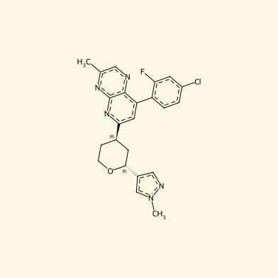 Cc1cnc2c(-c3ccc(Cl)cc3F)cc([C@@H]3CCO[C@@H](c4cnn(C)c4)C3)nc2n1